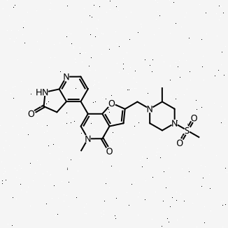 CC1CN(S(C)(=O)=O)CCN1Cc1cc2c(=O)n(C)cc(-c3ccnc4c3CC(=O)N4)c2o1